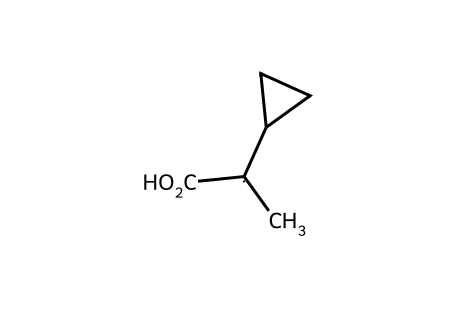 C[C](C(=O)O)C1CC1